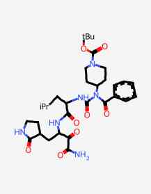 CC(C)CC(NC(=O)N(C(=O)c1ccccc1)C1CCN(C(=O)OC(C)(C)C)CC1)C(=O)NC(CC1CCNC1=O)C(=O)C(N)=O